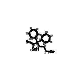 [Se]CCCC(C(=[Se])[SeH])(c1ccccc1)c1ccccc1